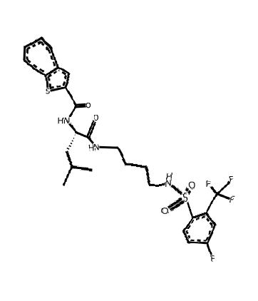 CC(C)C[C@H](NC(=O)c1cc2ccccc2s1)C(=O)NCCCCNS(=O)(=O)c1ccc(F)cc1C(F)(F)F